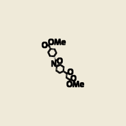 COC(=O)CC(=O)C1CCc2nc([C@H]3CC[C@H](C(=O)OC)CC3)oc2C1